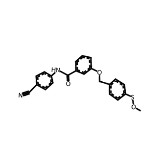 COSc1ccc(COc2cccc(C(=O)Nc3ccc(C#N)cc3)c2)cc1